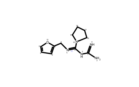 N=C(N)N/C(=N/Cc1ccco1)N1CCCC1